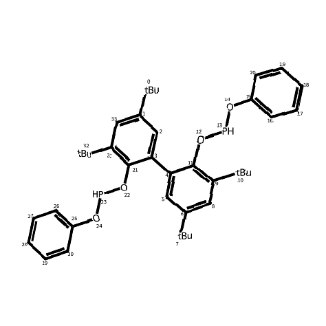 CC(C)(C)c1cc(-c2cc(C(C)(C)C)cc(C(C)(C)C)c2OPOc2ccccc2)c(OPOc2ccccc2)c(C(C)(C)C)c1